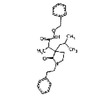 CC(C)CC1(C(C)C(=O)NOCc2ccccc2)CCN(CCc2ccccc2)C1=O